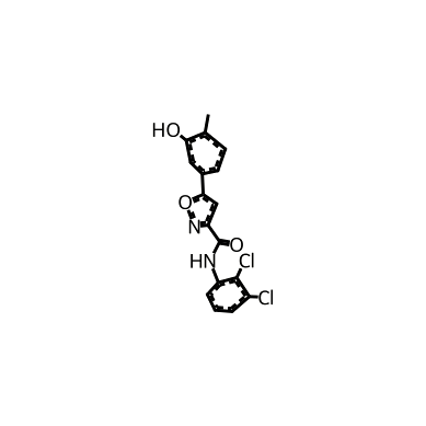 Cc1ccc(-c2cc(C(=O)Nc3cccc(Cl)c3Cl)no2)cc1O